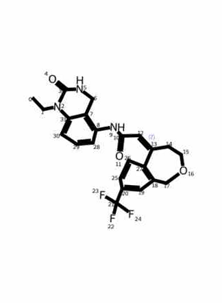 CCN1C(=O)NCc2c(NC(=O)/C=C3/CCOCc4cc(C(F)(F)F)ccc43)cccc21